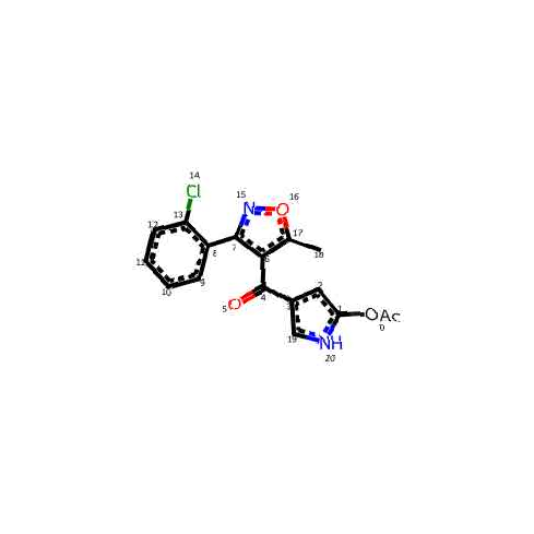 CC(=O)Oc1cc(C(=O)c2c(-c3ccccc3Cl)noc2C)c[nH]1